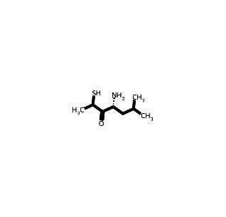 CC(C)C[C@@H](N)C(=O)C(C)S